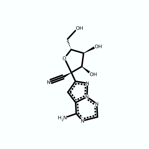 N#C[C@@]1(c2cc3c(N)ncnn3n2)O[C@H](CO)[C@@H](O)[C@H]1O